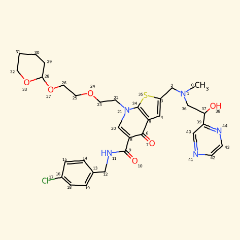 CN(Cc1cc2c(=O)c(C(=O)NCc3ccc(Cl)cc3)cn(CCOCCOC3CCCCO3)c2s1)CC(O)c1cnccn1